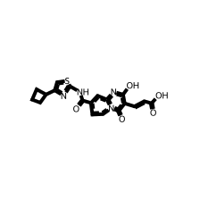 O=C(O)/C=C/c1c(O)nc2cc(C(=O)Nc3nc(C4CCC4)cs3)ccn2c1=O